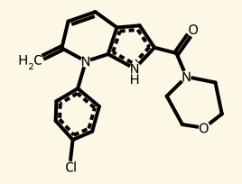 C=C1C=Cc2cc(C(=O)N3CCOCC3)[nH]c2N1c1ccc(Cl)cc1